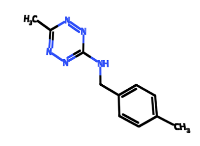 Cc1ccc(CNc2nnc(C)nn2)cc1